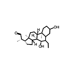 CCC1C2CC(O)CC[C@]2(C)[C@H]2CC[C@]3(C)[C@@H]([C@H](C)C=O)CC[C@H]3[C@@H]2[C@@H]1O